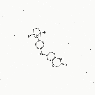 O=C1COc2cc(Nc3ccc(N4[C@H]5CC[C@@H]4CC5)cc3)ccc2N1